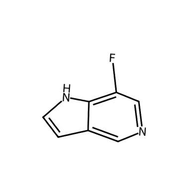 Fc1cncc2cc[nH]c12